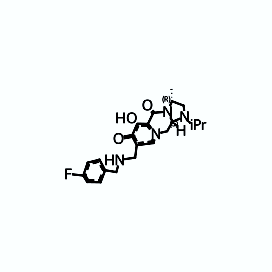 CC(C)N1C[C@@H](C)N2C(=O)c3c(O)c(=O)c(CNCc4ccc(F)cc4)cn3C[C@@H]12